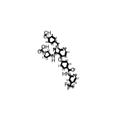 COc1ccc(Cn2nc(N[C@@H]3CCN(C(=O)O)C3)c3c(Oc4ccc(C(=O)Nc5cc(C(F)(F)F)ccn5)cc4)ccnc32)cc1